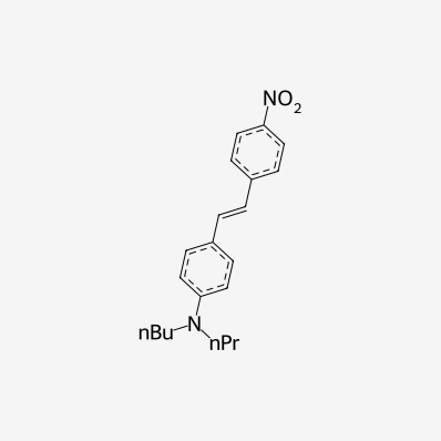 CCCCN(CCC)c1ccc(C=Cc2ccc([N+](=O)[O-])cc2)cc1